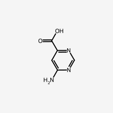 Nc1cc(C(=O)O)ncn1